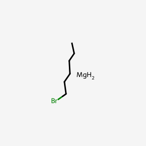 CCCCCCBr.[MgH2]